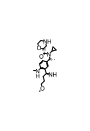 CNc1ccc([C@@H](C)N(C(=O)[C@H]2CNCCO2)C2CC2)cc1C(=N)CCCOC